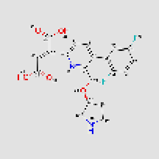 Fc1ccc(F)c(-c2cccnc2CO[C@H]2CCNC2)c1.O=C(O)/C=C/C(=O)O